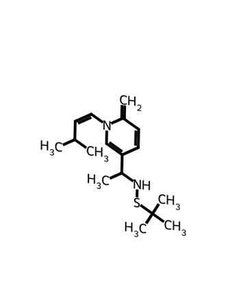 C=C1C=CC(C(C)NSC(C)(C)C)=CN1/C=C\C(C)C